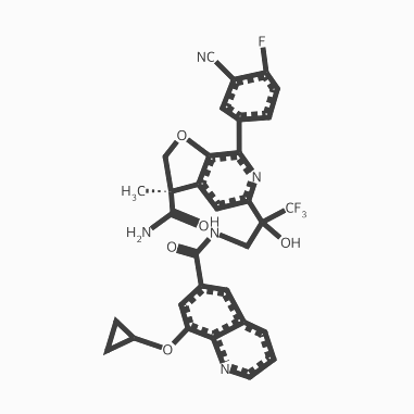 C[C@]1(C(N)=O)COc2c1cc(C(O)(CNC(=O)c1cc(OC3CC3)c3ncccc3c1)C(F)(F)F)nc2-c1ccc(F)c(C#N)c1